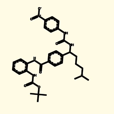 CN(C)CCCC(NC(=O)Nc1ccc([N+](=O)[O-])cc1)c1ccc(C(=O)Nc2ccccc2NC(=O)OC(C)(C)C)cc1